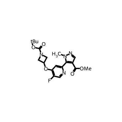 COC(=O)c1cnn(C)c1-c1cc(OC2CN(C(=O)OC(C)(C)C)C2)c(F)cn1